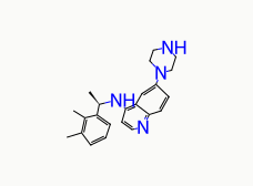 Cc1cccc([C@@H](C)Nc2ccnc3ccc(N4CCNCC4)cc23)c1C